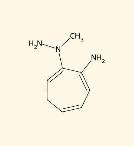 CN(N)C1=CCC=CC=C1N